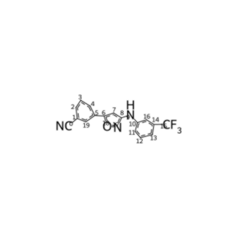 N#Cc1cccc(-c2cc(Nc3cccc(C(F)(F)F)c3)no2)c1